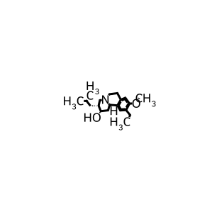 CCc1cc2c(cc1OC)CCN1C[C@@H](CC(C)C)[C@@H](O)C[C@H]21